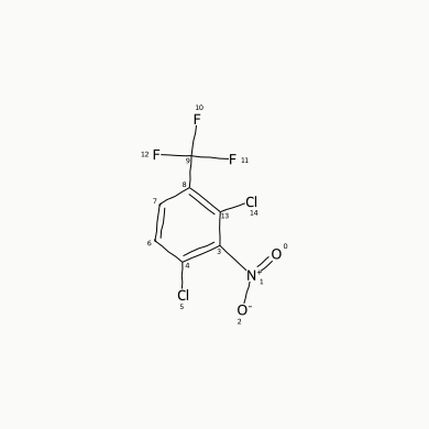 O=[N+]([O-])c1c(Cl)ccc(C(F)(F)F)c1Cl